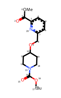 COC(=O)c1cccc(COC2CCN(C(=O)OC(C)(C)C)CC2)n1